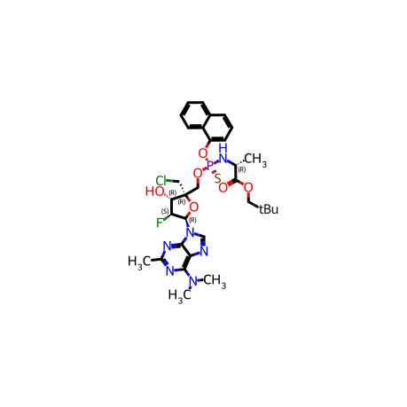 Cc1nc(N(C)C)c2ncn([C@@H]3O[C@](CCl)(COP(=S)(N[C@H](C)C(=O)OCC(C)(C)C)Oc4cccc5ccccc45)[C@@H](O)[C@@H]3F)c2n1